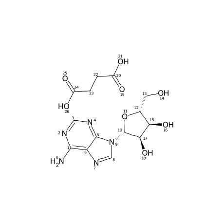 Nc1ncnc2c1ncn2[C@@H]1O[C@H](CO)[C@@H](O)[C@H]1O.O=C(O)CCC(=O)O